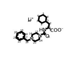 O=C([O-])[C@H](CC1CCCCC1)NC(=O)N1CCN(Cc2ccccc2)CC1.[Li+]